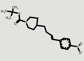 CC(C)(C)OC(=O)N1CCC(CC/C=C/c2ccc([N+](=O)[O-])cc2)CC1